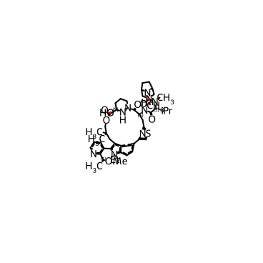 CCn1c(-c2cccnc2[C@H](C)OC)c2c3cc(ccc31)-c1csc(n1)C[C@H](NC(=O)[C@H](C(C)C)N(C)C(=O)N1C3CCC1CN(C)C3)C(=O)N1CCC[C@@](O)(N1)C(=O)OCC(C)(C)C2